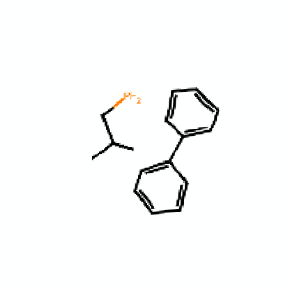 CC(C)CP.c1ccc(-c2ccccc2)cc1